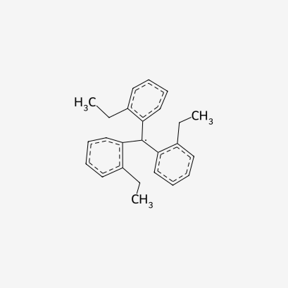 CCc1ccccc1[C](c1ccccc1CC)c1ccccc1CC